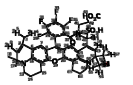 [2H]C1=C(C([2H])[2H])c2cc3c(c4c2N(CCC4)C1(C)C)Oc1c2c4c(cc1=C3c1c(F)c(F)c(F)c(F)c1C(=O)N(C)CCC(=O)O)C(C([2H])([2H])S(=O)(=O)O)=C([2H])C(C([2H])([2H])[2H])(C([2H])([2H])[2H])[N+]=4CCC2